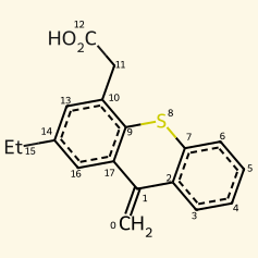 C=C1c2ccccc2Sc2c(CC(=O)O)cc(CC)cc21